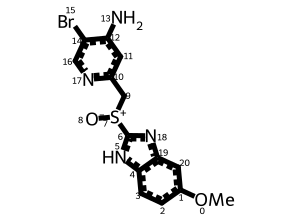 COc1ccc2[nH]c([S+]([O-])Cc3cc(N)c(Br)cn3)nc2c1